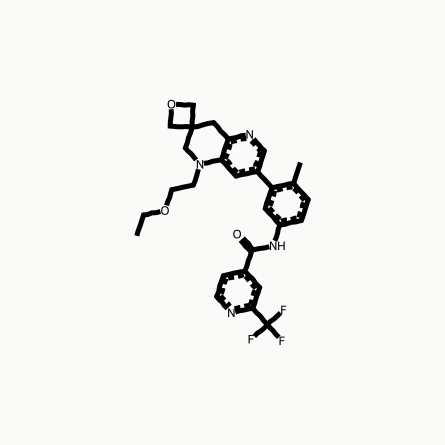 CCOCCN1CC2(COC2)Cc2ncc(-c3cc(NC(=O)c4ccnc(C(F)(F)F)c4)ccc3C)cc21